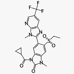 CCS(=O)(=O)c1cc2c(cc1-c1nc3cc(C(F)(F)F)cnc3n1C)n(C(=O)C1CC1)c(=O)n2C